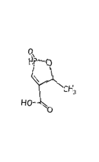 CC1O[PH](=O)C=C1C(=O)O